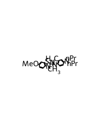 CCCN(CCC)c1ccc(/N=N/c2sc3cc(OC)ccc3[n+]2C)c(C)c1